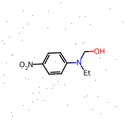 CCN(CO)c1ccc([N+](=O)[O-])cc1